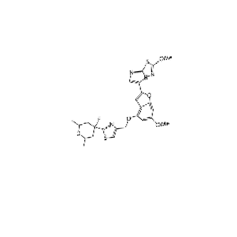 COc1cc(OCc2csc(C3(F)CC(C)OC(C)C3)n2)c2cc(-c3cnc4sc(OC)nn34)oc2c1